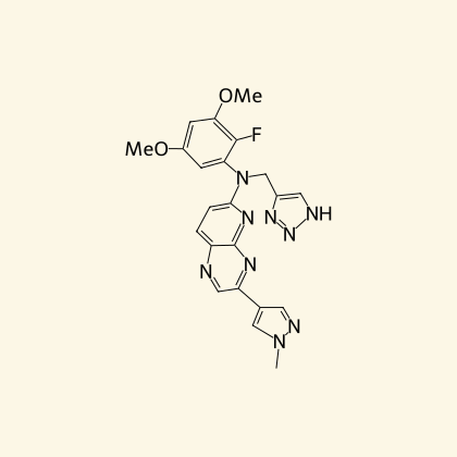 COc1cc(OC)c(F)c(N(Cc2c[nH]nn2)c2ccc3ncc(-c4cnn(C)c4)nc3n2)c1